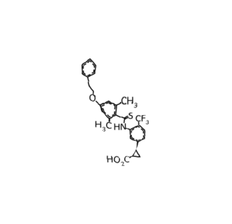 Cc1cc(OCCc2ccccc2)cc(C)c1C(=S)Nc1cc([C@H]2C[C@H]2C(=O)O)ccc1C(F)(F)F